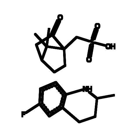 CC1(C)C2CCC1(CS(=O)(=O)O)C(=O)C2.CC1CCc2cc(F)ccc2N1